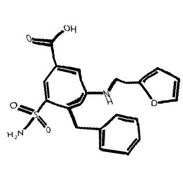 NS(=O)(=O)c1cc(C(=O)O)cc(NCc2ccco2)c1Cc1ccccc1